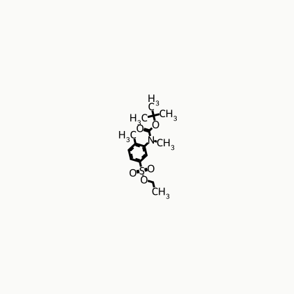 CCOS(=O)(=O)c1ccc(C)c(N(C)C(=O)OC(C)(C)C)c1